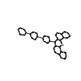 c1ccc(-c2ccc(-c3ccc(-c4c5ccc6ccccc6c5nc5c4ccc4ccccc45)cc3)cc2)cc1